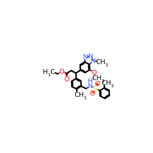 CCOC(=O)CC(c1ccc(C)c(CNS(=O)(=O)c2ccccc2C)c1)c1cc(OC)c2c(c1)nnn2C